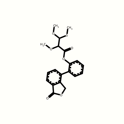 COC(SC)C(OC)C(=O)Oc1ccccc1-c1cccc2c1COC2=O